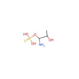 CC(O)C(N)OP(O)(O)=S